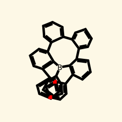 c1ccc(B2c3c(-c4ccccc4)cccc3-c3ccccc3-c3ccccc3-c3cccc(-c4ccccc4)c32)cc1